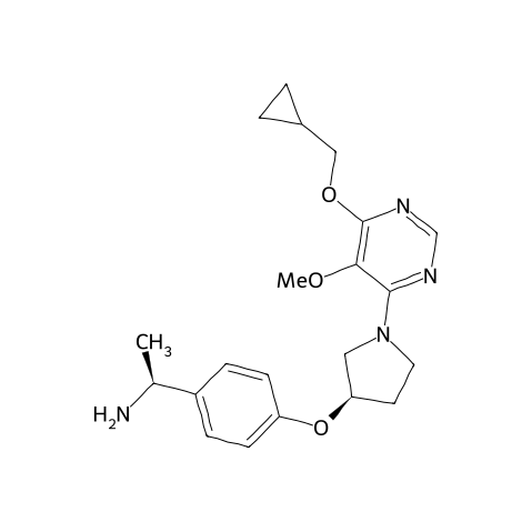 COc1c(OCC2CC2)ncnc1N1CC[C@@H](Oc2ccc([C@H](C)N)cc2)C1